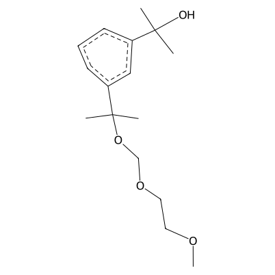 COCCOCOC(C)(C)c1cccc(C(C)(C)O)c1